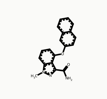 Cn1nc(C(N)=O)c2c(Oc3ccc4ccccc4c3)cccc21